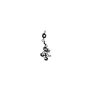 O=C(O[C@H]1C[N+]2(CCCOc3ccc(F)cc3)CCC1CC2)C(O)(c1cccs1)c1cccs1.[Br-]